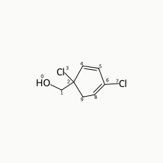 OCC1(Cl)C=CC(Cl)=CC1